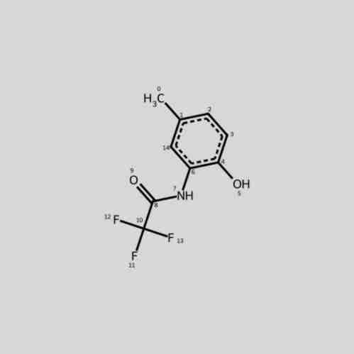 Cc1ccc(O)c(NC(=O)C(F)(F)F)c1